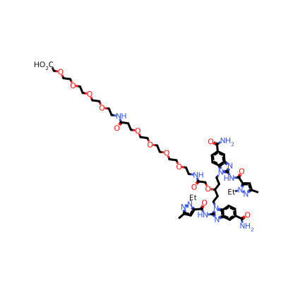 CCn1nc(C)cc1C(=O)Nc1nc2cc(C(N)=O)ccc2n1CCC(CCn1c(NC(=O)c2cc(C)nn2CC)nc2cc(C(N)=O)ccc21)OCC(=O)NCCOCCOCCOCCOCCC(=O)NCCOCCOCCOCCOCC(=O)O